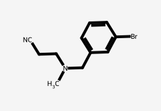 CN(CCC#N)Cc1cccc(Br)c1